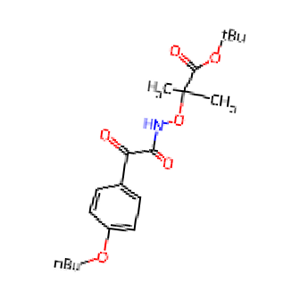 CCCCOc1ccc(C(=O)C(=O)NOC(C)(C)C(=O)OC(C)(C)C)cc1